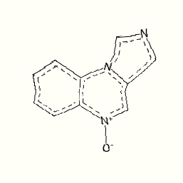 [O-][n+]1cc2cncn2c2ccccc21